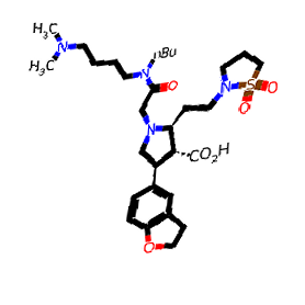 CCCCN(CCCCN(C)C)C(=O)CN1C[C@H](c2ccc3c(c2)CCO3)[C@@H](C(=O)O)[C@@H]1CCN1CCCS1(=O)=O